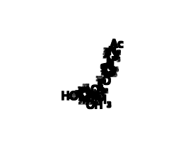 CC(=O)N1CCN(c2ccc(OCC3COC(C)(c4ccc(O)cc4O)O3)cc2)CC1